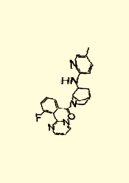 Cc1ccc(NC2CC3CC2N(C(=O)c2cccc(F)c2-c2ncccn2)C3)nc1